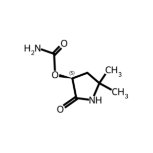 CC1(C)C[C@H](OC(N)=O)C(=O)N1